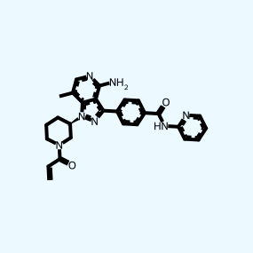 C=CC(=O)N1CCC[C@@H](n2nc(-c3ccc(C(=O)Nc4ccccn4)cc3)c3c(N)ncc(C)c32)C1